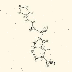 COc1ccc2cc(C(=O)OCCN3CCCC3)oc2c1